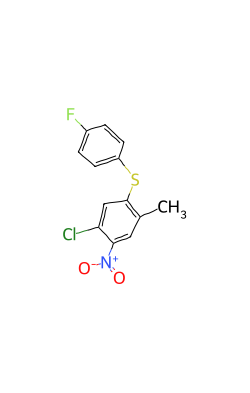 Cc1cc([N+](=O)[O-])c(Cl)cc1Sc1ccc(F)cc1